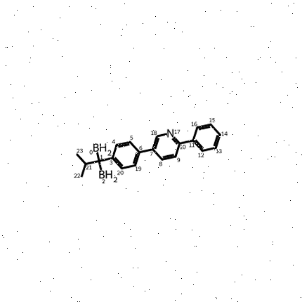 BC(B)(c1ccc(-c2ccc(-c3ccccc3)nc2)cc1)C(C)C